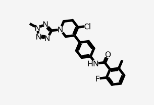 Cc1cccc(F)c1C(=O)Nc1ccc(C2=C(Cl)CCN(c3nnn(C)n3)C2)cc1